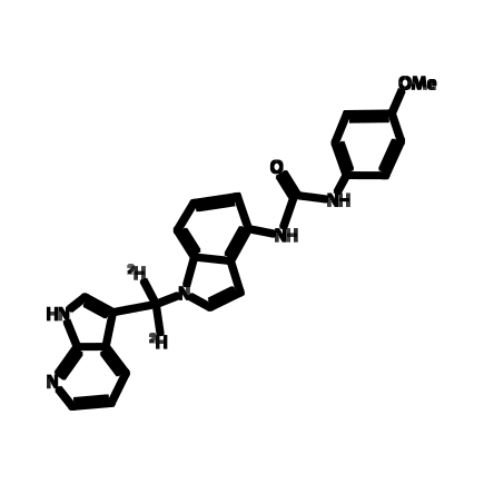 [2H]C([2H])(c1c[nH]c2ncccc12)n1ccc2c(NC(=O)Nc3ccc(OC)cc3)cccc21